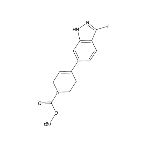 CC(C)(C)OC(=O)N1CC=C(c2ccc3c(I)n[nH]c3c2)CC1